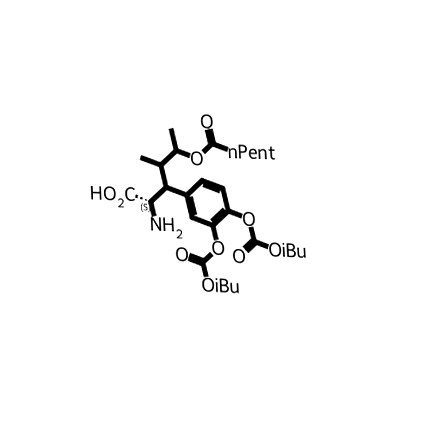 CCCCCC(=O)OC(C)C(C)C(c1ccc(OC(=O)OCC(C)C)c(OC(=O)OCC(C)C)c1)[C@H](N)C(=O)O